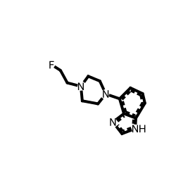 FCCN1CCN(c2cccc3[nH]cnc23)CC1